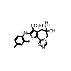 CCOC(=O)c1c(Nc2ccc(I)cc2F)sc2c1CC(C)(C)Cn1cnnc1-2